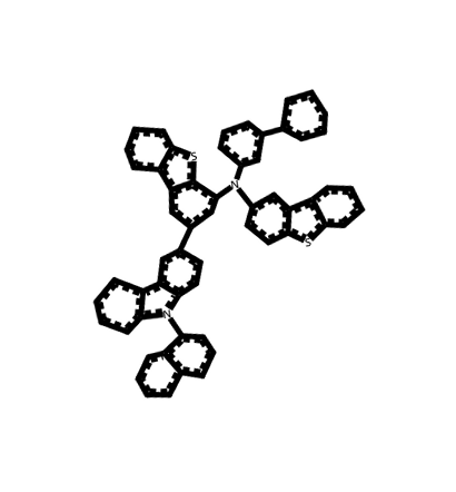 c1ccc(-c2cccc(N(c3ccc4sc5ccccc5c4c3)c3cc(-c4ccc5c(c4)c4ccccc4n5-c4cccc5ccccc45)cc4c3sc3ccccc34)c2)cc1